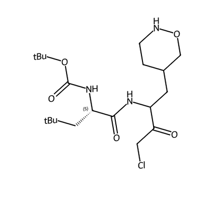 CC(C)(C)C[C@H](NC(=O)OC(C)(C)C)C(=O)NC(CC1CCNOC1)C(=O)CCl